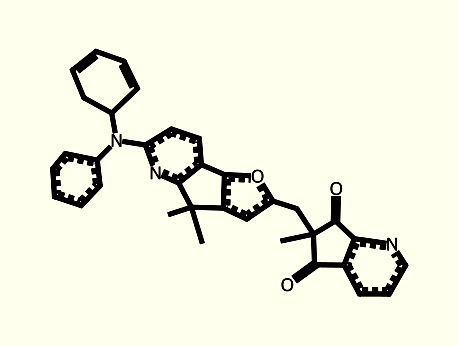 CC1(Cc2cc3c(o2)-c2ccc(N(c4ccccc4)C4C=CC=CC4)nc2C3(C)C)C(=O)c2cccnc2C1=O